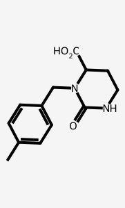 Cc1ccc(CN2C(=O)NCCC2C(=O)O)cc1